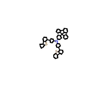 c1ccc(C2(c3ccc(N(c4ccc(-c5cccc6c5sc5ccccc56)cc4)c4ccc(-c5cccc6c5sc5ccccc56)cc4)cc3)c3ccccc3-c3ccccc32)cc1